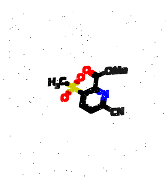 COC(=O)c1nc(C#N)ccc1S(C)(=O)=O